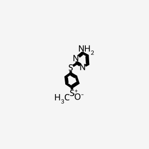 C[S+]([O-])c1ccc(Sc2nccc(N)n2)cc1